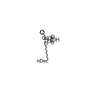 CCCCCCCCCCCCCCCCCCOC[C@H](COC(=O)P(=O)(O)O)OCc1ccccc1